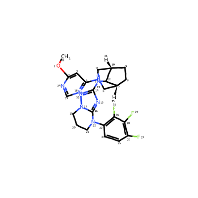 COc1cc(N2C[C@H]3CC[C@@H](C2)C3Nc2nc3n(n2)CCCN3c2ccc(F)c(F)c2F)ncn1